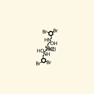 Cl.Cl.OC(CSSCC(O)NCc1cc(Br)cc(Br)c1)NCc1cc(Br)cc(Br)c1